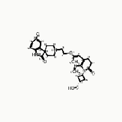 C=NC1=C(/C=C(\C)OCCN2CCC3(CC2)C(=O)Nc2ccc(Cl)cc23)CCC(=O)N1[C@H]1C[C@@H](CO)C1